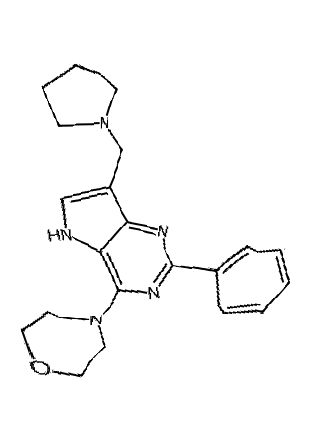 [c]1cccc(-c2nc(N3CCOCC3)c3[nH]cc(CN4CCCC4)c3n2)c1